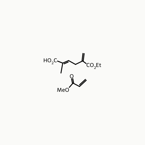 C=C(CC=C(C)C(=O)O)C(=O)OCC.C=CC(=O)OC